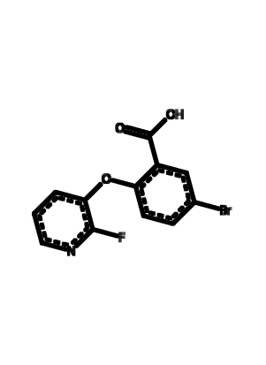 O=C(O)c1cc(Br)ccc1Oc1cccnc1F